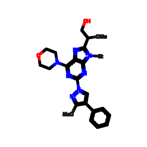 CCn1c(C(CO)OC)nc2c(N3CCOCC3)nc(-n3cc(-c4ccccc4)c(OC)n3)nc21